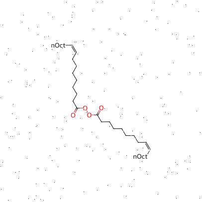 CCCCCCCC/C=C\CCCCCCCC(=O)OOC(=O)CCCCCCC/C=C\CCCCCCCC